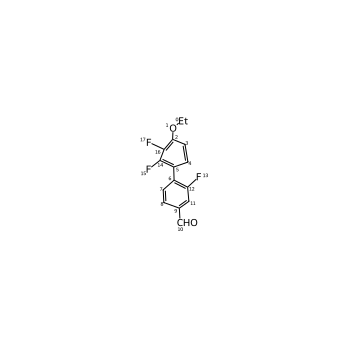 CCOc1ccc(-c2ccc(C=O)cc2F)c(F)c1F